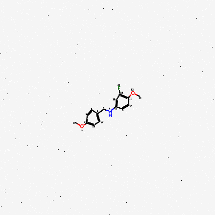 COc1ccc(CNc2ccc(OC)c(F)c2)cc1